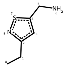 CCc1cc(CN)sn1